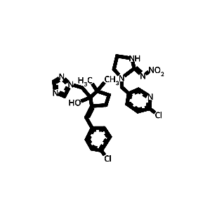 CC1(C)CC/C(=C\c2ccc(Cl)cc2)C1(O)Cn1cncn1.O=[N+]([O-])/N=C1\NCCN1Cc1ccc(Cl)nc1